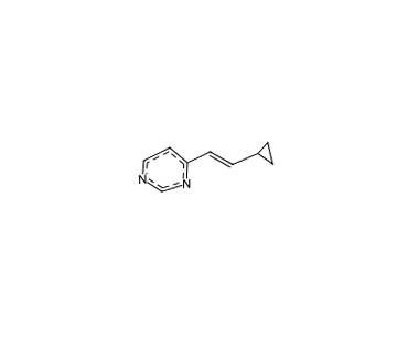 C(=C\C1CC1)/c1ccncn1